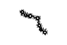 Cc1ccccc1-c1ccn(-c2ccc(CCc3cccc(CCc4ccc(-n5ccc(-c6ccccc6C)n5)cc4)c3)cc2)n1